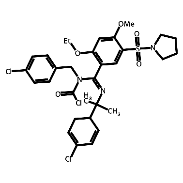 CCOc1cc(OC)c(S(=O)(=O)N2CCCC2)cc1/C(=N/C(C)(C)C1C=CC(Cl)=CC1)N(Cc1ccc(Cl)cc1)C(=O)Cl